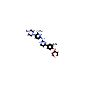 COc1nc(Nc2nccc(-c3ccc(OC4CCOCC4)c(C#N)c3)n2)ccc1N1CCN(C)CC1